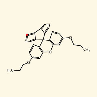 CCCOc1ccc2c(c1)Oc1cc(OCCC)ccc1C21c2ccccc2-c2ccccc21